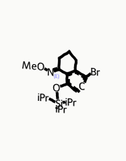 CO/N=C1\CCCc2c(Br)ccc(O[Si](C(C)C)(C(C)C)C(C)C)c21